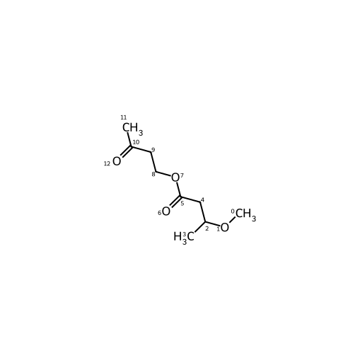 COC(C)CC(=O)OCCC(C)=O